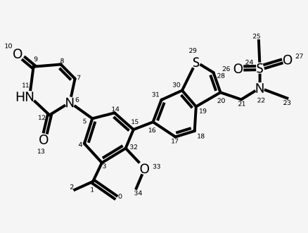 C=C(C)c1cc(-n2ccc(=O)[nH]c2=O)cc(-c2ccc3c(CN(C)S(C)(=O)=O)csc3c2)c1OC